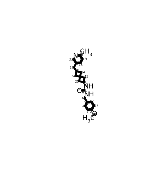 COc1ccc(CNC(=O)NC2CC3(CC(Cc4ccc(C)nc4)C3)C2)cc1